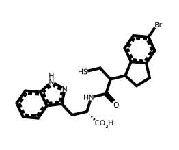 O=C(N[C@@H](Cc1n[nH]c2ccccc12)C(=O)O)C(CS)C1CCc2cc(Br)ccc21